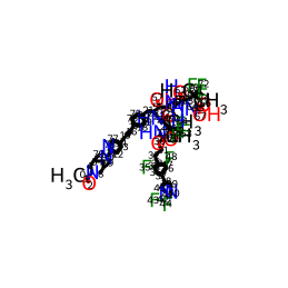 CC(=O)N1CC2CC(C1)CN(c1ccc(C#Cc3ccc(CC(NC(=O)C(NC(=O)OCCc4c(F)cc(-c5cnn(C(F)F)c5)cc4F)C(C)(C)C(F)(F)F)C(O)CNNC(=O)C(NC(=O)O)C(C)(C)C(F)(F)F)cc3)cn1)C2